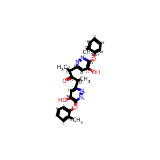 Cc1ccccc1Oc1nnc(C(C)C(=O)C(C)c2cc(O)c(Oc3ccccc3C)nn2)cc1O